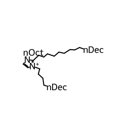 CCCCCCCCCCCCCCCCCCCc1n(CCCCCCCC)cc[n+]1CCCCCCCCCCCCCC